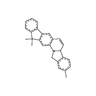 Cc1ccc2c(c1)CN1c3cc4c(cc3C=CC21)-c1ccccc1C4(C)C